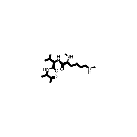 CNCCCCC(NC)C(=O)NC(C(=O)NC(C)C(C)=O)C(C)C